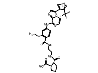 CCc1cc(Nc2nccn3c(-c4c[nH]nc4C(F)(F)F)cnc23)ccc1C(=O)NCCNC(=O)[C@@H]1CCCN1C(=O)O